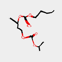 [CH2]C(CCOC(=O)OC(C)C)OC(=O)OCCCC